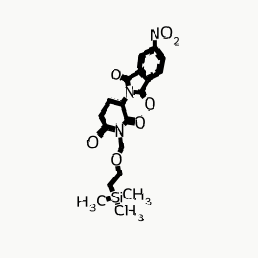 C[Si](C)(C)CCOCN1C(=O)CCC(N2C(=O)c3ccc([N+](=O)[O-])cc3C2=O)C1=O